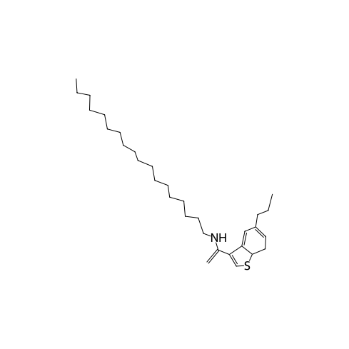 C=C(NCCCCCCCCCCCCCCCCCC)C1=CSC2CC=C(CCC)C=C12